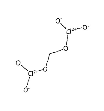 [O-][Cl+2]([O-])OCO[Cl+2]([O-])[O-]